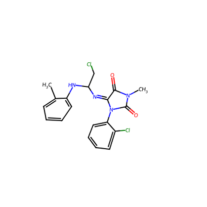 Cc1ccccc1NC(CCl)N=C1C(=O)N(C)C(=O)N1c1ccccc1Cl